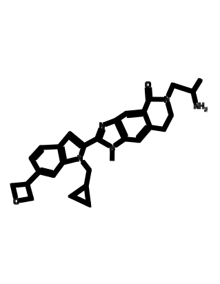 CC(N)CN1CCc2cc3c(cc2C1=O)nc(-c1cc2ccc(C4COC4)cc2n1CC1CC1)n3C